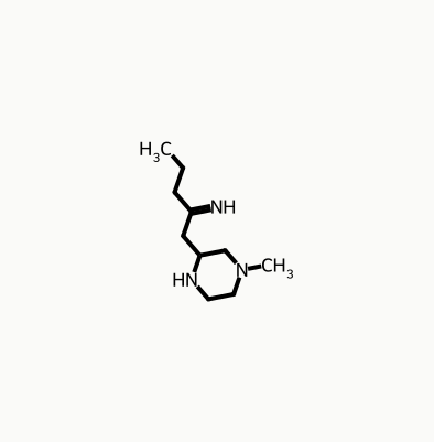 CCCC(=N)CC1CN(C)CCN1